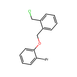 CC(C)c1ccccc1OCc1ccccc1CCl